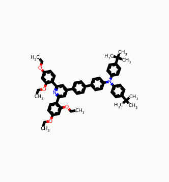 CCOc1ccc(-c2cc(-c3ccc(-c4ccc(N(c5ccc(C(C)(C)C)cc5)c5ccc(C(C)(C)C)cc5)cc4)cc3)cc(-c3ccc(OCC)cc3OCC)n2)c(OCC)c1